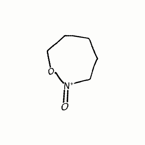 O=[N+]1CCCCCO1